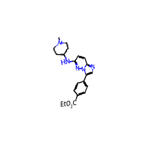 CCOC(=O)c1ccc(-c2cnc3ccc(NC4CCN(C)CC4)nn23)cc1